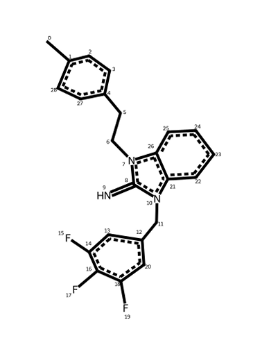 Cc1ccc(CCn2c(=N)n(Cc3cc(F)c(F)c(F)c3)c3ccccc32)cc1